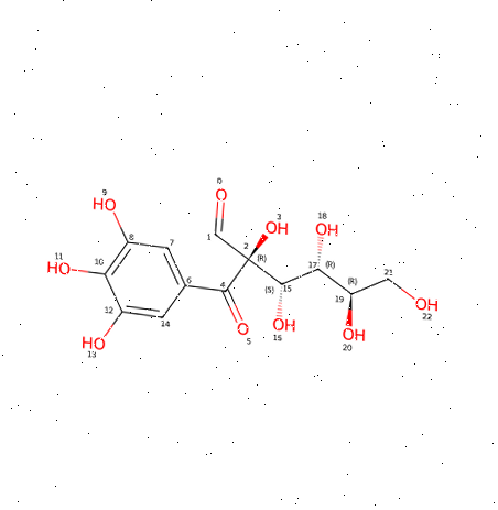 O=C[C@@](O)(C(=O)c1cc(O)c(O)c(O)c1)[C@@H](O)[C@H](O)[C@H](O)CO